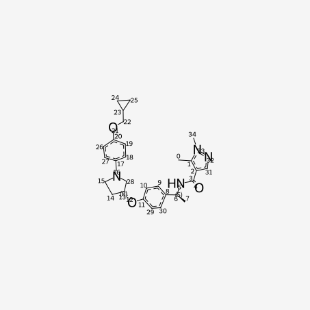 Cc1c(C(=O)N[C@@H](C)c2ccc(O[C@@H]3CCN(c4ccc(OCC5CC5)cc4)C3)cc2)cnn1C